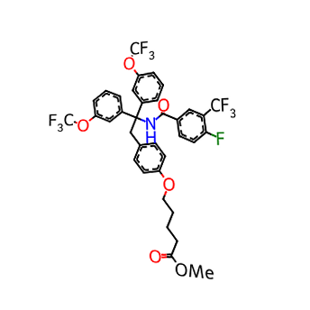 COC(=O)CCCCOc1ccc(CC(NC(=O)c2ccc(F)c(C(F)(F)F)c2)(c2cccc(OC(F)(F)F)c2)c2cccc(OC(F)(F)F)c2)cc1